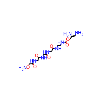 N/C=C(\N)COC(=O)NCCNC(=O)CNC(=O)CNC(=O)CNC(=O)CON